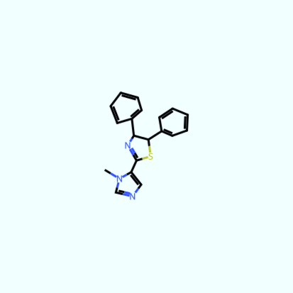 Cn1cncc1C1=NC(c2ccccc2)C(c2ccccc2)S1